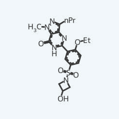 CCCc1nn(C)c2c(=O)[nH]c(-c3cc(S(=O)(=O)N4CC(O)C4)ccc3OCC)nc12